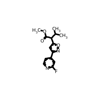 COC(=O)C(c1cc(-c2ccnc(F)c2)no1)C(C)C